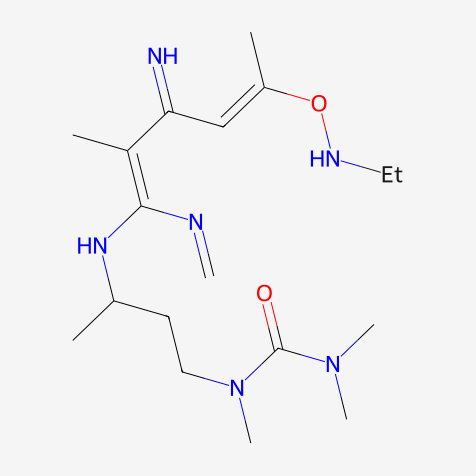 C=N/C(NC(C)CCN(C)C(=O)N(C)C)=C(/C)C(=N)/C=C(\C)ONCC